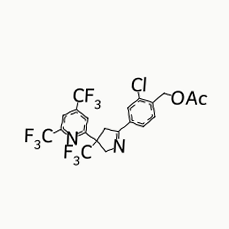 CC(=O)OCc1ccc(C2=NCC(c3cc(C(F)(F)F)cc(C(F)(F)F)n3)(C(F)(F)F)C2)cc1Cl